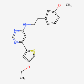 CCOc1csc(-c2cc(NCCc3cccc(OC)c3)ncn2)c1